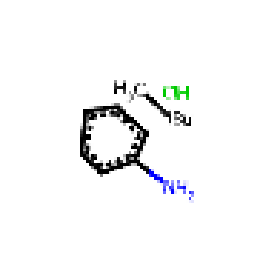 CCC(C)C.Cl.Nc1ccccc1